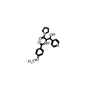 COc1ccc(C(=O)NC(C(=O)N2CCCC2)C(O)c2ccncc2)cc1